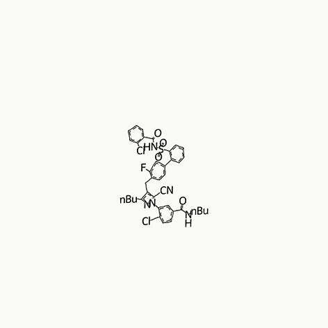 CCCCNC(=O)c1ccc(Cl)c(-n2nc(CCCC)c(Cc3ccc(-c4ccccc4S(=O)(=O)NC(=O)c4ccccc4Cl)cc3F)c2C#N)c1